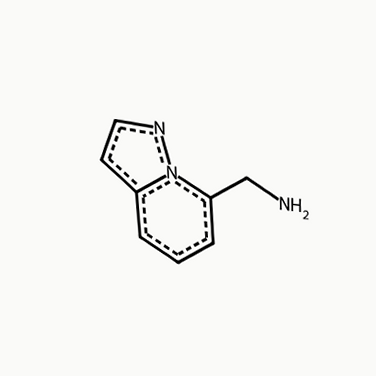 NCc1cccc2ccnn12